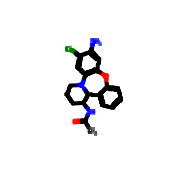 Nc1cc2c(cc1Cl)N1CCCC(NC(=O)C(F)(F)F)C1c1ccccc1O2